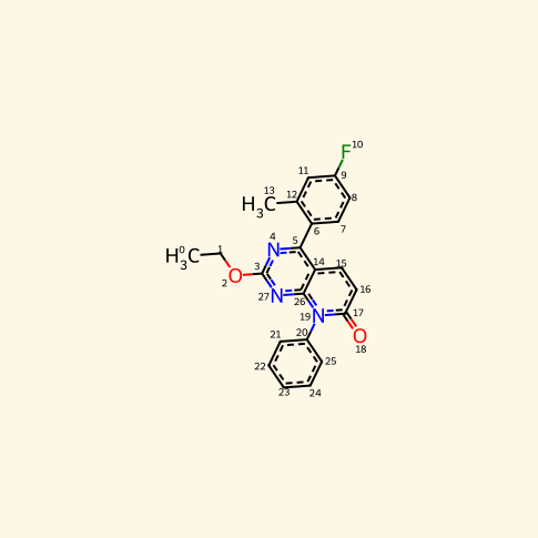 CCOc1nc(-c2ccc(F)cc2C)c2ccc(=O)n(-c3ccccc3)c2n1